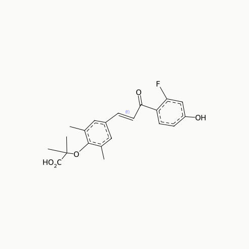 Cc1cc(/C=C/C(=O)c2ccc(O)cc2F)cc(C)c1OC(C)(C)C(=O)O